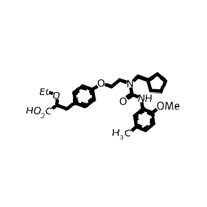 CCOC(Cc1ccc(OCCN(CC2CCCC2)C(=O)Nc2cc(C)ccc2OC)cc1)C(=O)O